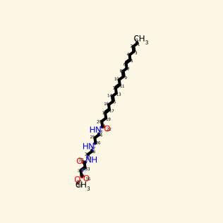 CCC=CCC=CCC=CCC=CCC=CCC=CCCC(=O)NCCCNCCNC(=O)/C=C/C(=O)OC